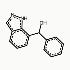 OC(c1ccccc1)c1cccc2cn[nH]c12